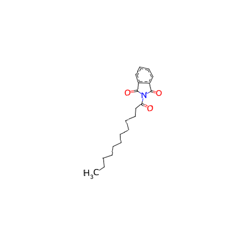 CCCCCCCCCCCC(=O)N1C(=O)c2ccccc2C1=O